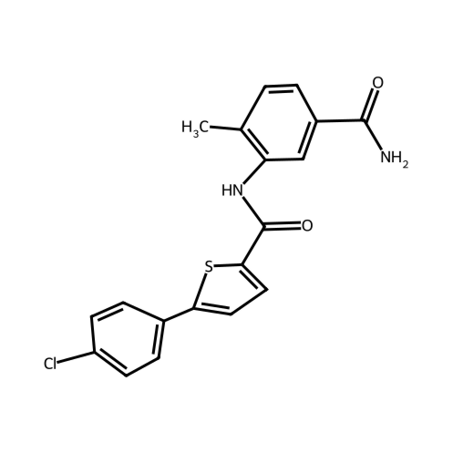 Cc1ccc(C(N)=O)cc1NC(=O)c1ccc(-c2ccc(Cl)cc2)s1